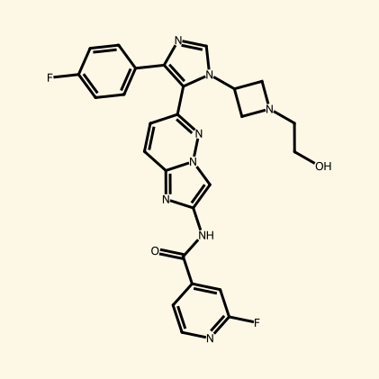 O=C(Nc1cn2nc(-c3c(-c4ccc(F)cc4)ncn3C3CN(CCO)C3)ccc2n1)c1ccnc(F)c1